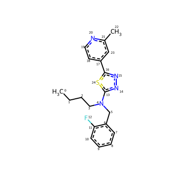 CCCCN(Cc1ccccc1F)c1nnc(-c2ccnc(C)c2)s1